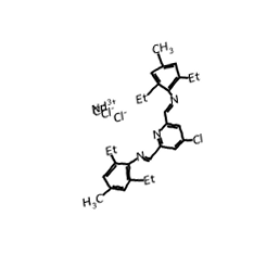 CCc1cc(C)cc(CC)c1N=Cc1cc(Cl)cc(C=Nc2c(CC)cc(C)cc2CC)n1.[Cl-].[Cl-].[Cl-].[Nd+3]